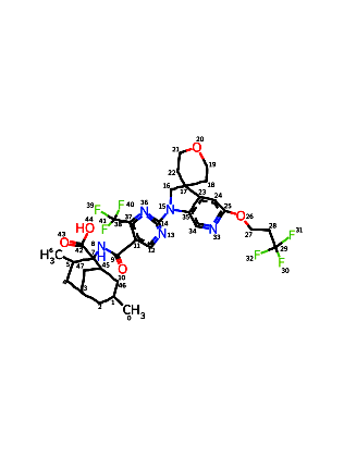 CC1CC2CC(C)C(NC(=O)c3cnc(N4CC5(CCOCC5)c5cc(OCCC(F)(F)F)ncc54)nc3C(F)(F)F)(C(=O)O)C(C1)C2